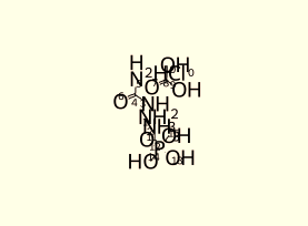 Cl.N.N.NC(N)=O.O=C(O)O.O=P(O)(O)O